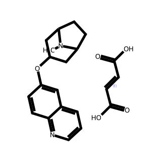 CN1C2CCC1CC(Oc1ccc3ncccc3c1)C2.O=C(O)/C=C/C(=O)O